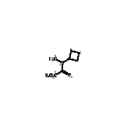 CCOC(=O)C(=O)N(C)C1CCC1